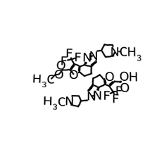 CCOC(=O)c1oc2c(c1C(F)(F)F)-c1nn(CC3CCN(C)CC3)cc1CC2.CN1CCC(Cn2cc3c(n2)-c2c(oc(C(=O)O)c2C(F)(F)F)CC3)CC1